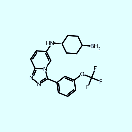 B[C@H]1CC[C@@H](Nc2ccc3nnc(-c4cccc(OC(F)(F)F)c4)n3c2)CC1